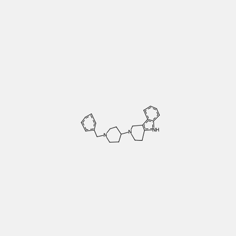 c1ccc(CN2CCC(N3CCc4[nH]c5ccccc5c4C3)CC2)cc1